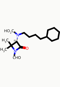 CC1(C)[C@H](N(CCCCC2CCCCC2)C(=O)O)C(=O)N1C=O